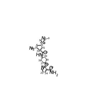 Cc1ncc(-c2cc(C#N)cc(C(=O)N[C@H]3CC[C@H](Oc4ncccc4C(N)=O)CC3)c2)s1